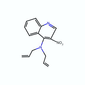 C=CCN(CC=C)c1c([N+](=O)[O-])cnc2ccccc12